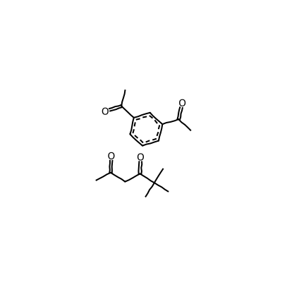 CC(=O)CC(=O)C(C)(C)C.CC(=O)c1cccc(C(C)=O)c1